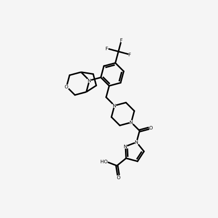 O=C(O)c1ccn(C(=O)N2CCN(Cc3ccc(C(F)(F)F)cc3N3C4CCC3COC4)CC2)n1